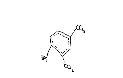 C[C](C)c1ccc(C(Cl)(Cl)Cl)cc1C(Cl)(Cl)Cl